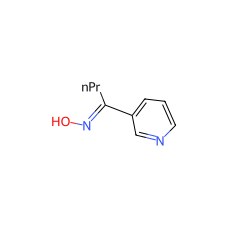 CCCC(=NO)c1cccnc1